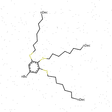 [CH2]CCCc1cc(SCCCCCCCCCCCCCCCCC)c(SCCCCCCCCCCCCCCCCC)c(SCCCCCCCCCCCCCCCCC)c1